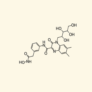 Cc1cc2nc(C(=O)Nc3cccc(CC(=O)NO)c3)c(=O)n(CC(O)C(O)C(O)CO)c2cc1C